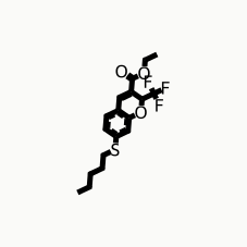 CCCCCSc1ccc2c(c1)OC(C(F)(F)F)C(C(=O)OCC)=C2